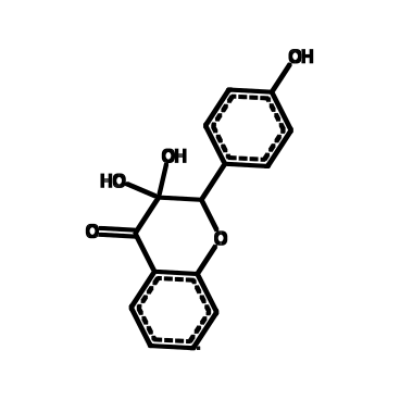 O=C1c2cc[c]cc2OC(c2ccc(O)cc2)C1(O)O